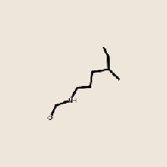 CCC(C)CCCNC[O]